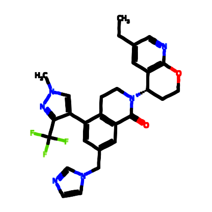 CCc1cnc2c(c1)[C@@H](N1CCc3c(cc(Cn4ccnc4)cc3-c3cn(C)nc3C(F)(F)F)C1=O)CCO2